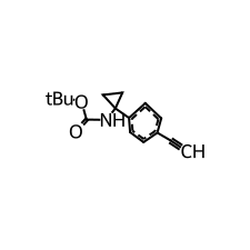 C#Cc1ccc(C2(NC(=O)OC(C)(C)C)CC2)cc1